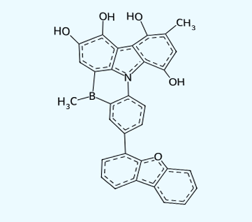 CB1c2cc(-c3cccc4c3oc3ccccc34)ccc2-n2c3c(O)cc(C)c(O)c3c3c(O)c(O)cc1c32